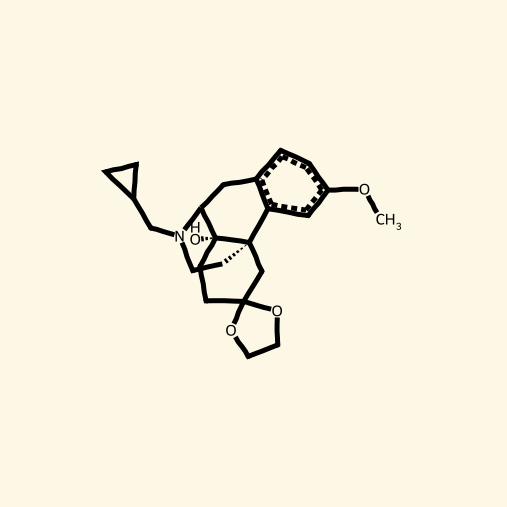 COc1ccc2c(c1)[C@]13CCN(CC4CC4)C(C2)[C@]1(O)CCC1(C3)OCCO1